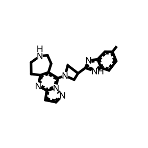 Cc1ccc2[nH]c(C3CN(c4c5c(nc6ccnn46)CCNCC5)C3)nc2c1